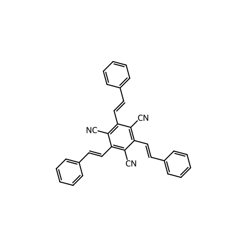 N#Cc1c(C=Cc2ccccc2)c(C#N)c(C=Cc2ccccc2)c(C#N)c1C=Cc1ccccc1